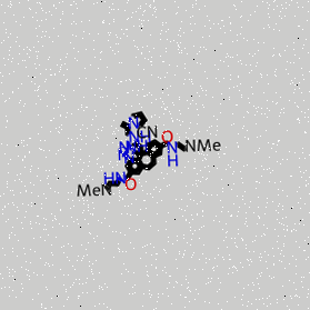 C=C(CNCCC1(c2nnn[nH]2)c2ccc(C(=O)NCCNC)cc2CCc2cc(C(=O)NCCNC)ccc21)N1CCCC1C#N